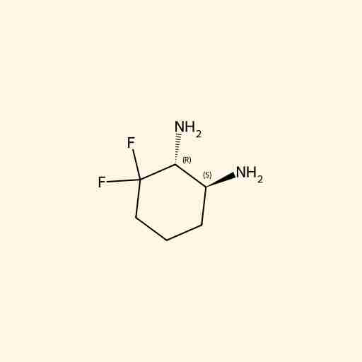 N[C@@H]1[C@@H](N)CCCC1(F)F